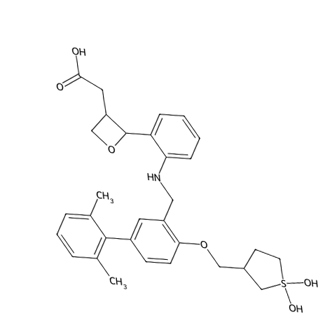 Cc1cccc(C)c1-c1ccc(OCC2CCS(O)(O)C2)c(CNc2ccccc2C2OCC2CC(=O)O)c1